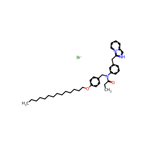 CCCCCCCCCCCCCCOc1ccc(CN(C(=O)CC)c2cccc(Cc3[nH]cc4cccc[n+]34)c2)cc1.[Br-]